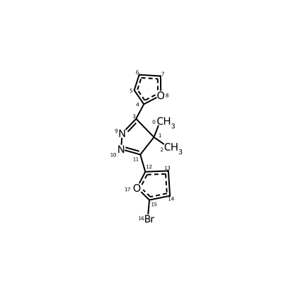 CC1(C)C(c2ccco2)=NN=C1c1ccc(Br)o1